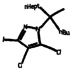 CCCCCCCC(C)(CCCC)n1nc(I)c(Cl)c1Cl